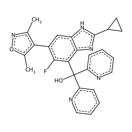 Cc1noc(C)c1-c1cc2[nH]c(C3CC3)nc2c(C(O)(c2ccccn2)c2ccccn2)c1F